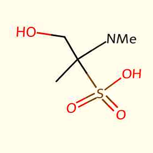 CNC(C)(CO)S(=O)(=O)O